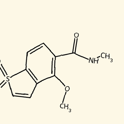 CNC(=O)c1ccc2c(c1OC)C=CS2(=O)=O